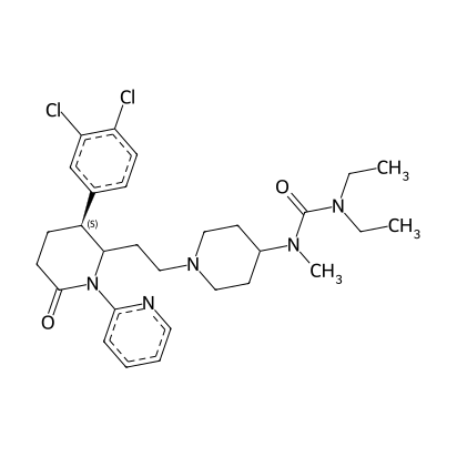 CCN(CC)C(=O)N(C)C1CCN(CCC2[C@H](c3ccc(Cl)c(Cl)c3)CCC(=O)N2c2ccccn2)CC1